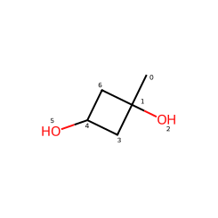 CC1(O)CC(O)C1